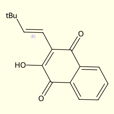 CC(C)(C)/C=C/C1=C(O)C(=O)c2ccccc2C1=O